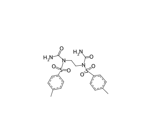 Cc1ccc(S(=O)(=O)N(CCN(C(N)=O)S(=O)(=O)c2ccc(C)cc2)C(N)=O)cc1